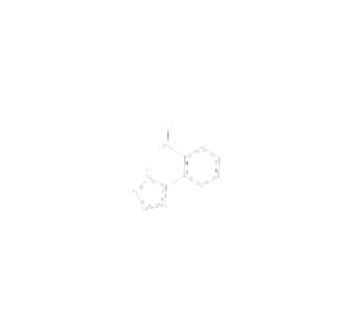 ClNc1ccccc1-c1nnn[nH]1